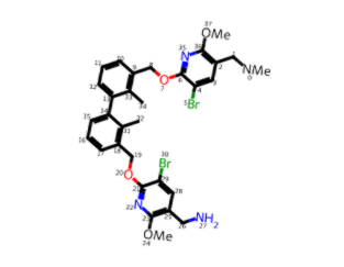 CNCc1cc(Br)c(OCc2cccc(-c3cccc(COc4nc(OC)c(CN)cc4Br)c3C)c2C)nc1OC